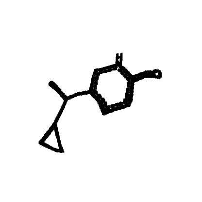 CC(c1ccc(=O)[nH]c1)C1CC1